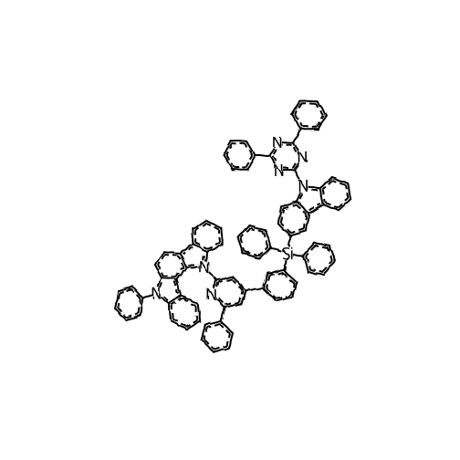 c1ccc(-c2cc(-c3cccc([Si](c4ccccc4)(c4ccccc4)c4ccc5c(c4)c4ccccc4n5-c4nc(-c5ccccc5)nc(-c5ccccc5)n4)c3)cc(-n3c4ccccc4c4ccc5c(c6ccccc6n5-c5ccccc5)c43)n2)cc1